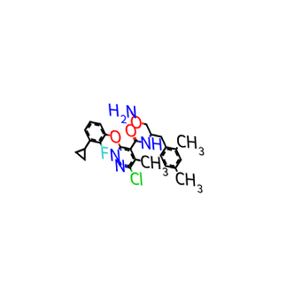 Cc1ccc(CC(CON)NC(=O)c2c(Oc3cccc(C4CC4)c3F)nnc(Cl)c2C)c(C)c1